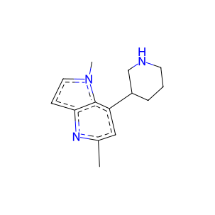 Cc1cc(C2CCCNC2)c2c(ccn2C)n1